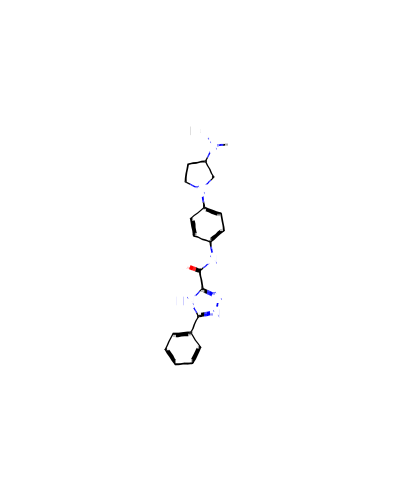 CN(C)C1CCN(c2ccc(NC(=O)c3nnc(-c4ccccc4)[nH]3)cc2)C1